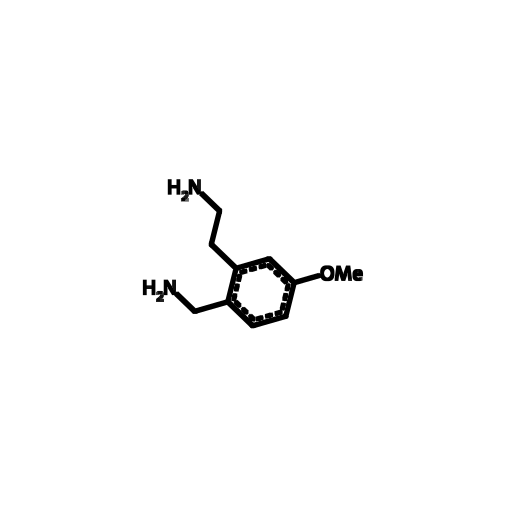 COc1ccc(CN)c(CCN)c1